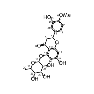 COc1ccc(C2CC(=O)c3c(cc(O)cc3O[C@@H]3OC(C)[C@H](O)[C@H](O)C3O)O2)cc1O